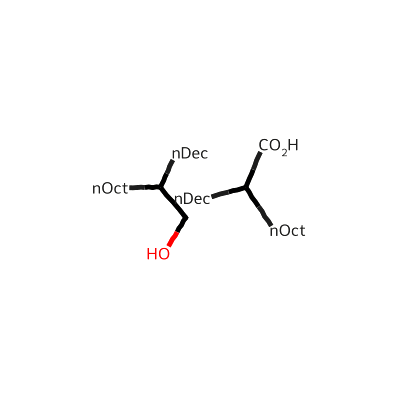 CCCCCCCCCCC(CCCCCCCC)C(=O)O.CCCCCCCCCCC(CO)CCCCCCCC